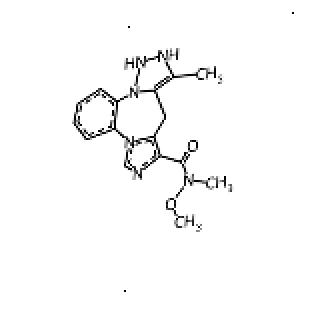 CON(C)C(=O)c1ncn2c1CC1=C(C)NNN1c1ccccc1-2